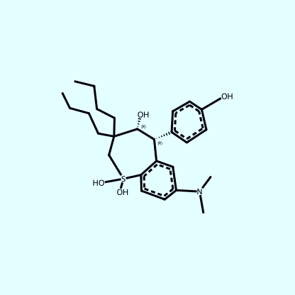 CCCCC1(CCCC)CS(O)(O)c2ccc(N(C)C)cc2[C@@H](c2ccc(O)cc2)[C@H]1O